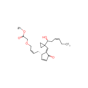 CC(C)OC(=O)COC/C=C\C[C@H]1C=CC(=O)/C1=C/C1([C@@H](O)C/C=C\CC(F)(F)F)CC1